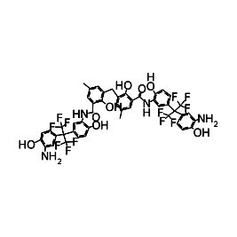 Cc1cc(Cc2cc(C)cc(C(=O)Nc3cc(C(c4ccc(O)c(N)c4)(C(F)(F)F)C(F)(F)F)ccc3O)c2O)c(O)c(C(=O)Nc2cc(C(c3ccc(O)c(N)c3)(C(F)(F)F)C(F)(F)F)ccc2O)c1